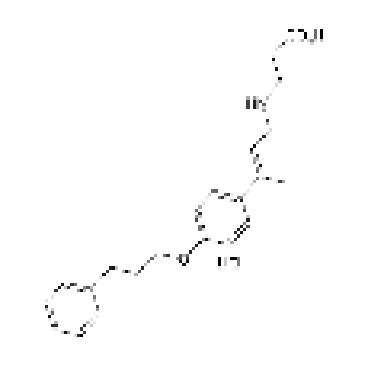 CC(=CCNCCC(=O)O)c1ccc(OCCCc2ccccc2)cc1.Cl